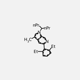 CCCC(CCC)n1cc(C)c2cc(-c3c(CC)cccc3CC)ncc21